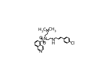 CN(C)CCN(CCNC/C=C/c1ccc(Cl)cc1)S(=O)(=O)c1cccc2cnccc12